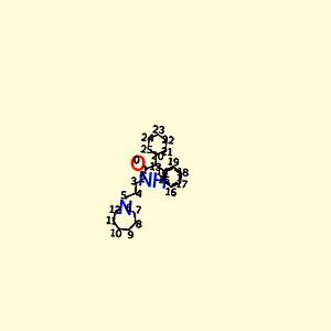 O=C(NCCCN1CCCCCC1)C(c1ccccc1)C1CCCCC1